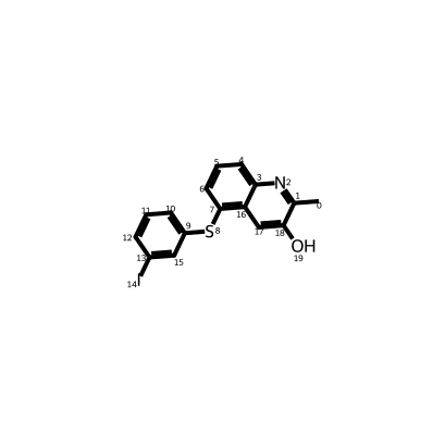 Cc1nc2cccc(Sc3cccc(I)c3)c2cc1O